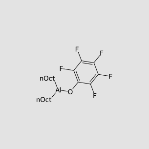 CCCCCCC[CH2][Al]([CH2]CCCCCCC)[O]c1c(F)c(F)c(F)c(F)c1F